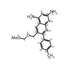 COCOCc1cc2c(N)nc(N)nc2nc1-c1ccc(C)cc1